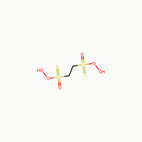 O=S(=S)(CCS(=O)(=S)OO)OO